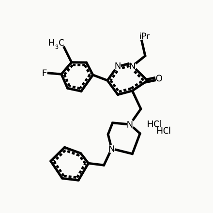 Cc1cc(-c2cc(CN3CCN(Cc4ccccc4)CC3)c(=O)n(CC(C)C)n2)ccc1F.Cl.Cl